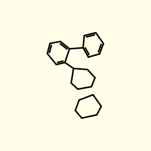 C1CCCCC1.c1ccc(-c2ccccc2C2CCCCC2)cc1